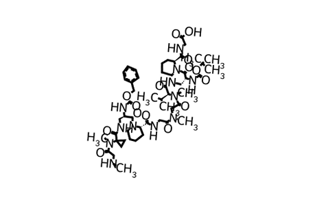 CNCC(=O)N(C)C1(C(=O)NC[C@@H](NC(=O)OCc2ccccc2)C(=O)N2CCCC[C@H]2C(=O)NCC(=O)N(C)CC(=O)N(C)[C@H](C(=O)NC[C@@H](NC(=O)OC(C)(C)C)C(=O)N2CCCC[C@H]2C(=O)NCC(=O)O)C(C)C)CC1